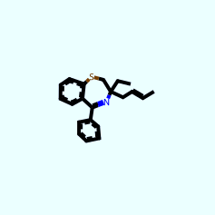 CC=CCC1(CC)CSc2ccccc2C(c2ccccc2)=N1